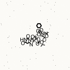 CC(C)OC(=O)O[C@@H]1[C@@H](COP(=O)(N[C@@H](C)C(=O)OC(C)C)Oc2ccccc2)O[C@@H](n2ccc(=O)[nH]c2=O)[C@]1(C)C#N